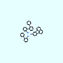 c1ccc(-c2ccccc2-c2nc(-c3ccc4c(c3)-c3cccc5cccc-4c35)nc(-c3ccccc3-c3cccc4oc5ccccc5c34)n2)cc1